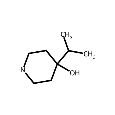 CC(C)C1(O)CC[N]CC1